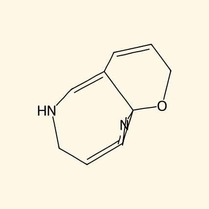 C1=CC2=CCNC=C3C=CCOC23N=C1